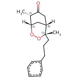 C[C@@H]1C(=O)C[C@H]2C[C@@H]1OO[C@@]2(C)CCCc1ccccc1